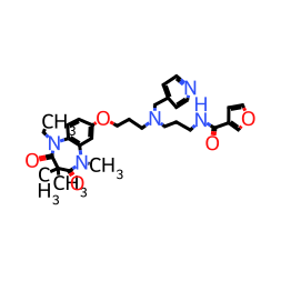 CCN1C(=O)C(C)(C)C(=O)N(C)c2cc(OCCCN(CCCNC(=O)c3ccoc3)Cc3ccncc3)ccc21